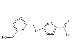 O=[N+]([O-])c1ccc(OCc2cccc(CO)c2)cc1